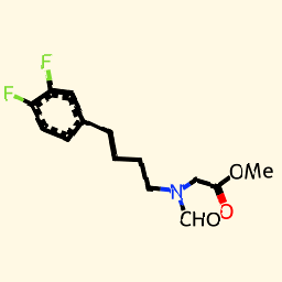 COC(=O)CN(C=O)CCCCc1ccc(F)c(F)c1